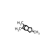 CC1C(C)C2CC1C1CN(C)CC21